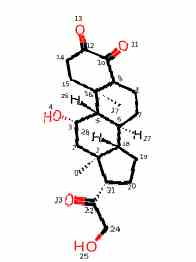 C[C@]12C[C@H](O)[C@H]3[C@@H](CCC4C(=O)C(=O)CC[C@@]43C)[C@@H]1CC[C@@H]2C(=O)CO